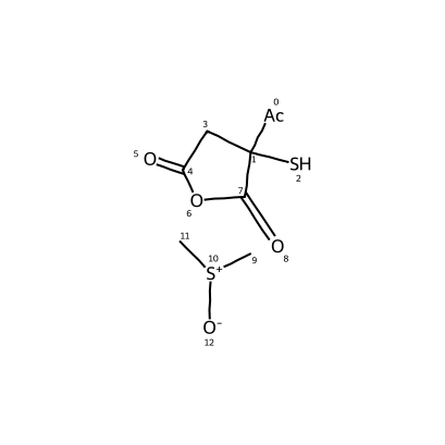 CC(=O)C1(S)CC(=O)OC1=O.C[S+](C)[O-]